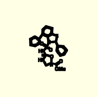 COC(=O)[C@H]1CN[C@@H](NS(=O)(=O)N2c3c(cccc3-c3ccccc3)SC2c2ccccc2)O1